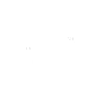 CCCCCN.F.c1ccsc1